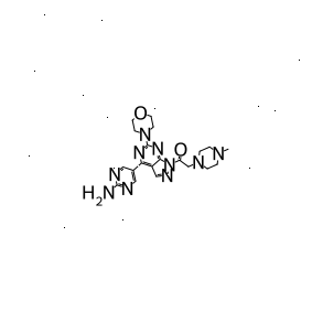 CN1CCN(CC(=O)n2ncc3c(-c4cnc(N)nc4)nc(N4CCOCC4)nc32)CC1